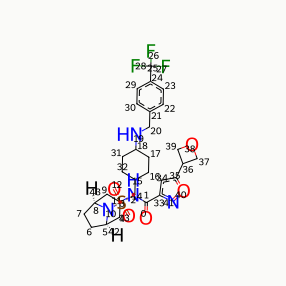 O=C(NC1C[C@H]2CC[C@@H](C1)N2S(=O)(=O)CC1CCC(NCc2ccc(C(F)(F)F)cc2)CC1)c1cc(C2COC2)on1